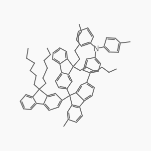 CCCCCCC1(CCCCCC)c2ccccc2-c2ccc(C3(c4ccc5c(c4)C(CCCCCC)(CCCCCC)c4ccccc4-5)c4cc(C)ccc4-c4ccc(-c5ccc(N(c6ccccc6)c6ccc(C)cc6)cc5)cc43)cc21